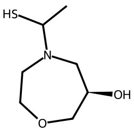 CC(S)N1CCOC[C@H](O)C1